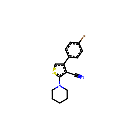 N#Cc1c(-c2ccc(Br)cc2)csc1N1CCCCC1